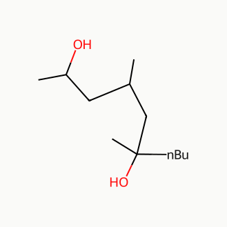 CCCCC(C)(O)CC(C)CC(C)O